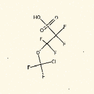 O=S(=O)(O)C(F)(F)C(F)(F)OC(F)(F)Cl